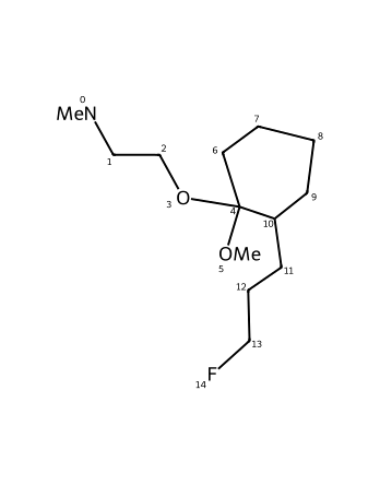 CNCCOC1(OC)CCCCC1CCCF